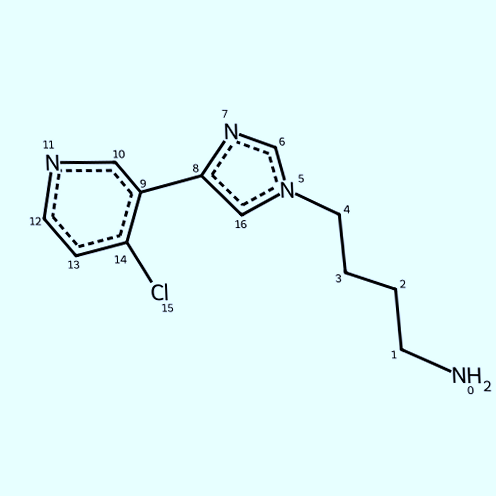 NCCCCn1cnc(-c2cnccc2Cl)c1